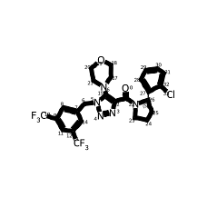 O=C(c1nnn(Cc2cc(C(F)(F)F)cc(C(F)(F)F)c2)c1N1CCOCC1)N1CCC[C@H]1c1ccccc1Cl